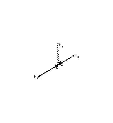 CCCCCCCCCCCCCCCCCCCCC(=O)OC[C@@H](COC(=O)CCCCCCCCCCCCCCC)OC(=O)CCCCCCCCCCCCCCCCCC